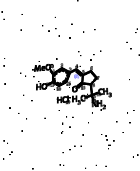 COc1cc(/C=C2/CCC(C(C)(C)N)C2=O)ccc1O.Cl